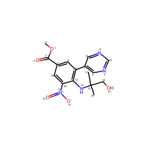 COC(=O)c1cc(-c2cncnc2)c(NC(C)(C)CO)c([N+](=O)[O-])c1